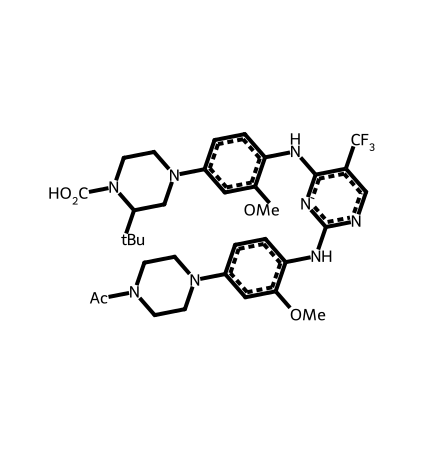 COc1cc(N2CCN(C(C)=O)CC2)ccc1Nc1ncc(C(F)(F)F)c(Nc2ccc(N3CCN(C(=O)O)C(C(C)(C)C)C3)cc2OC)n1